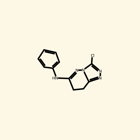 Clc1nnc2n1N=C(Nc1ccccc1)CC2